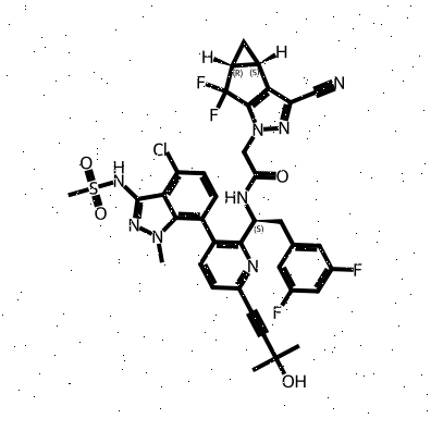 Cn1nc(NS(C)(=O)=O)c2c(Cl)ccc(-c3ccc(C#CC(C)(C)O)nc3[C@H](Cc3cc(F)cc(F)c3)NC(=O)Cn3nc(C#N)c4c3C(F)(F)[C@@H]3C[C@H]43)c21